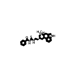 CN1C[C@H](CCNC(=S)NC(=O)c2ccccc2)CC2c3cccc4[nH]cc(c34)C[C@H]21